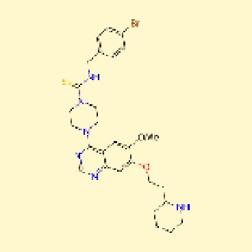 COc1cc2c(N3CCN(C(=S)NCc4ccc(Br)cc4)CC3)ncnc2cc1OCCC1CCCCN1